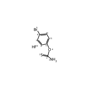 F.NC(=S)Oc1ccc(Br)cc1